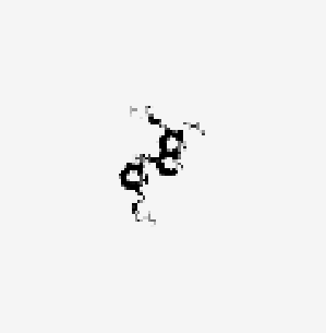 CCOc1cccc(Nc2ccnc3nc(C)c(OCC)cc23)n1